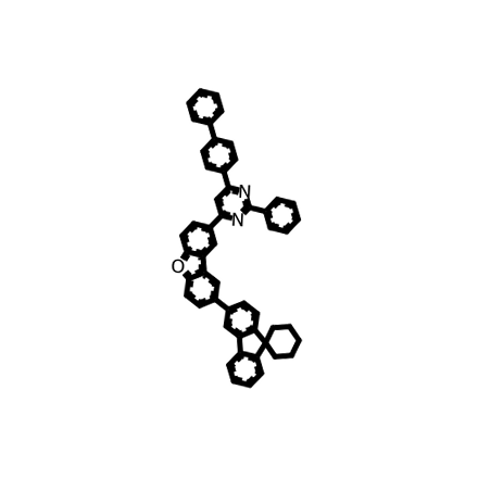 c1ccc(-c2ccc(-c3cc(-c4ccc5oc6ccc(-c7ccc8c(c7)-c7ccccc7C87CCCCC7)cc6c5c4)nc(-c4ccccc4)n3)cc2)cc1